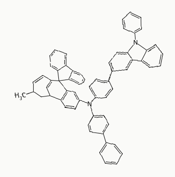 CC1C=CC2=CC(C1)c1ccc(N(c3ccc(-c4ccccc4)cc3)c3ccc(-c4ccc5c(c4)c4ccccc4n5-c4ccccc4)cc3)cc1C21c2ccccc2-c2ccccc21